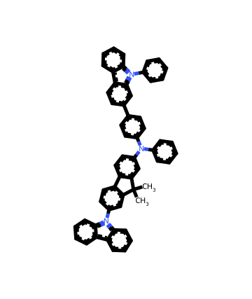 CC1(C)c2cc(N(c3ccccc3)c3ccc(-c4ccc5c6ccccc6n(-c6ccccc6)c5c4)cc3)ccc2-c2ccc(-n3c4ccccc4c4ccccc43)cc21